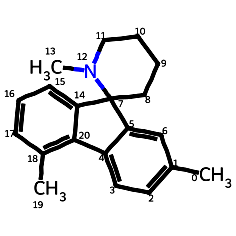 Cc1ccc2c(c1)C1(CCCCN1C)c1cccc(C)c1-2